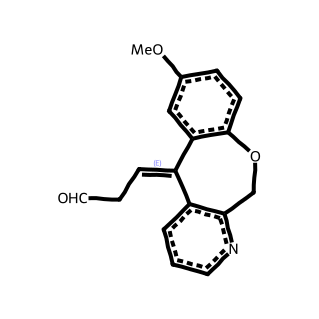 COc1ccc2c(c1)/C(=C/CC=O)c1cccnc1CO2